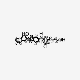 C[PH](=O)Oc1ccc(O)c(-n2nc3ccc(Nc4nc(Cl)nc(OCCCO)n4)cc3n2)c1